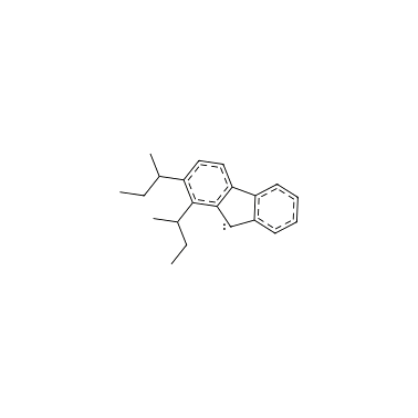 CCC(C)c1ccc2c(c1C(C)CC)[C]c1ccccc1-2